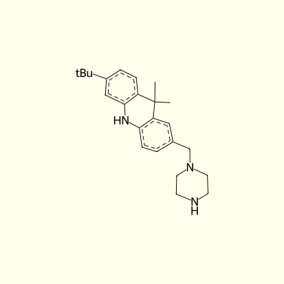 CC(C)(C)c1ccc2c(c1)Nc1ccc(CN3CCNCC3)cc1C2(C)C